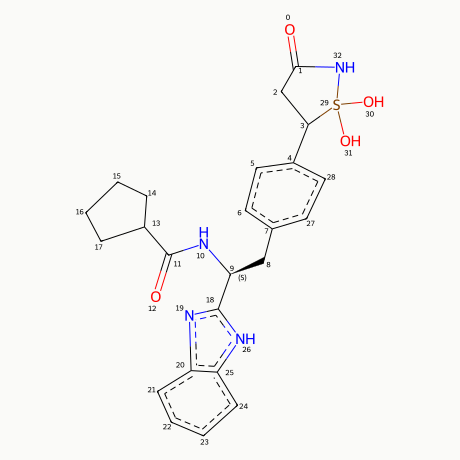 O=C1CC(c2ccc(C[C@H](NC(=O)C3CCCC3)c3nc4ccccc4[nH]3)cc2)S(O)(O)N1